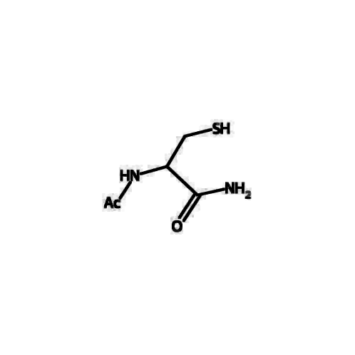 CC(=O)NC(CS)C(N)=O